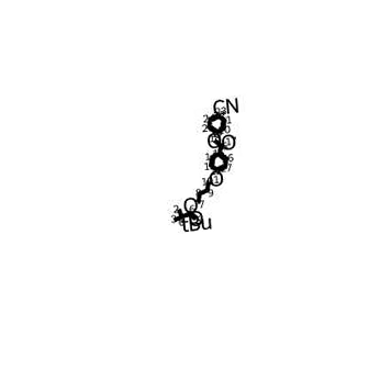 CC(C)(C)C(C)(C)C(=O)OCCCCOc1ccc(C(=O)Oc2ccc(C#N)cc2)cc1